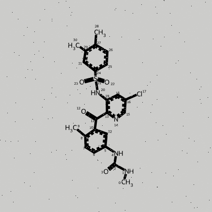 CNC(=O)Nc1ccc(C)c(C(=O)c2ncc(Cl)cc2NS(=O)(=O)c2ccc(C)c(C)c2)c1